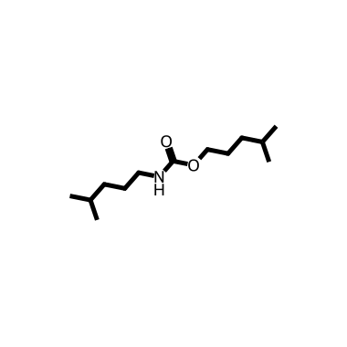 CC(C)CCCNC(=O)OCCCC(C)C